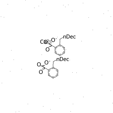 CCCCCCCCCCCc1ccccc1S(=O)(=O)[O-].CCCCCCCCCCCc1ccccc1S(=O)(=O)[O-].[Ca+2]